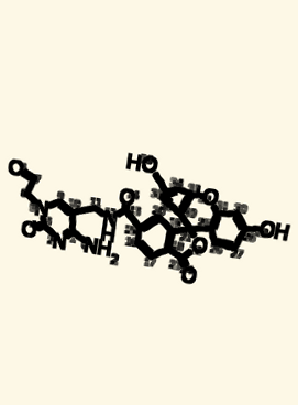 Nc1nc(=O)n(CC=O)cc1CNC(=O)c1ccc2c(c1)C1(OC2=O)c2ccc(O)cc2Oc2cc(O)ccc21